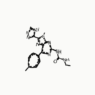 CCNC(=O)Nc1nc(-c2ccc(C)cc2)c2nc(-c3nnc[nH]3)n(C)c2n1